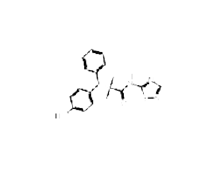 CC(C)(C(=O)Nc1ncns1)[C@@H](c1ccccc1)c1ccc(O)cc1